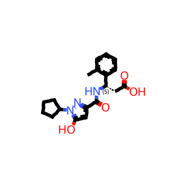 Cc1ccccc1[C@H](CC(=O)O)NC(=O)c1cc(O)n(C2CCCC2)n1